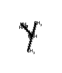 CCCCCCCCCCCC(=O)NC(CCCCCCCCCC)C(=O)NCCCCCC(=O)NCCN